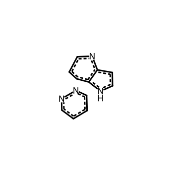 c1ccnnc1.c1cnc2cc[nH]c2c1